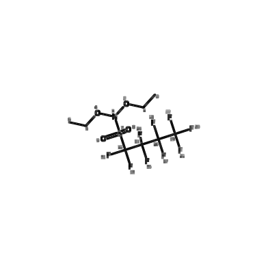 CCON(OCC)S(=O)(=O)C(F)(F)C(F)(F)C(F)(F)C(F)(F)F